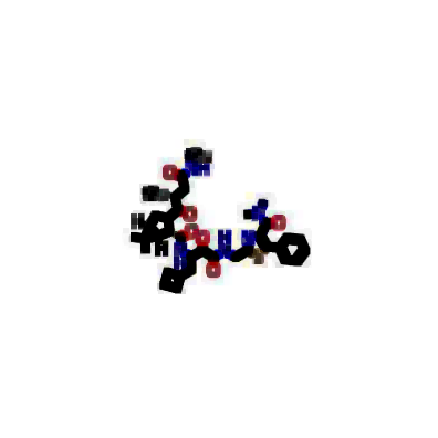 CN(C)C(=O)c1nc(CNC(=O)C(=O)C(CC2CCC2)NC(=O)[C@H]2C(C(=O)[C@@H](CC(=O)NC(C)(C)C)C(C)(C)C)C[C@H]3[C@@H]2C3(C)C)sc1-c1ccccc1